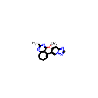 COc1nc(C)nc2c1C(c1ccc3ncnn3c1)=CCCC2